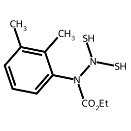 CCOC(=O)N(c1cccc(C)c1C)N(S)S